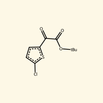 CC(C)(C)OC(=O)C(=O)c1ccc(Cl)s1